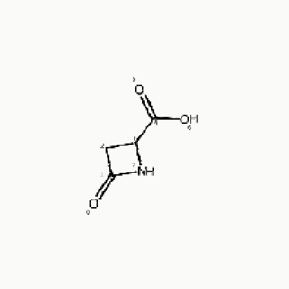 O=C1CC(C(=O)O)N1